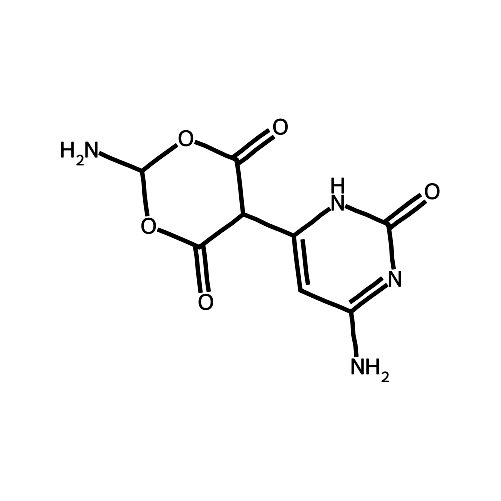 Nc1cc(C2C(=O)OC(N)OC2=O)[nH]c(=O)n1